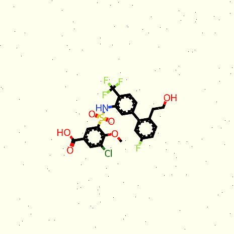 COc1c(Cl)cc(C(=O)O)cc1S(=O)(=O)Nc1cc(-c2cc(F)ccc2CCO)ccc1C(F)(F)F